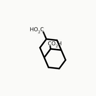 O=C(O)C1CC2CCCC(C1)C2C(=O)O